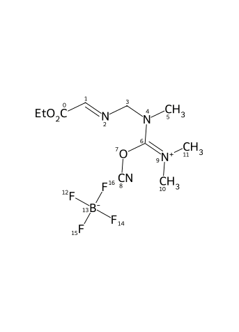 CCOC(=O)C=NCN(C)C(OC#N)=[N+](C)C.F[B-](F)(F)F